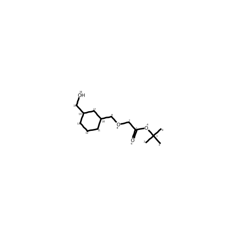 CC(C)(C)OC(=O)COCC1CCCC(CO)C1